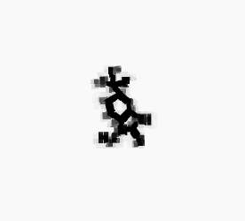 Cn1c(=S)[nH]c2cc(C(F)(F)F)ccc21